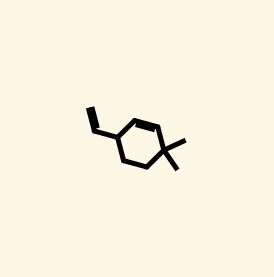 C=CC1C=CC(C)(C)CC1